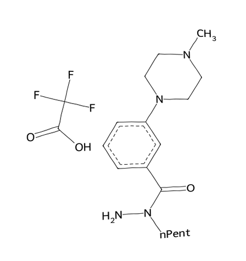 CCCCCN(N)C(=O)c1cccc(N2CCN(C)CC2)c1.O=C(O)C(F)(F)F